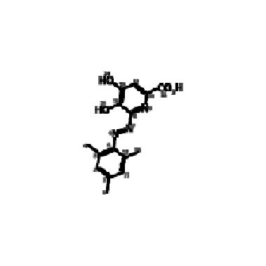 Cc1cc(C)c(N=Nc2nc(C(=O)O)cc(O)c2O)c(C)c1